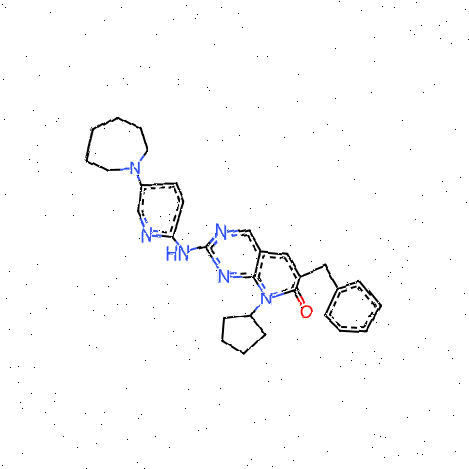 O=c1c(Cc2ccccc2)cc2cnc(Nc3ccc(N4CCCCCC4)cn3)nc2n1C1CCCC1